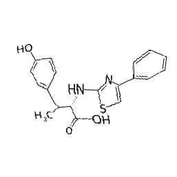 CC(c1ccc(O)cc1)[C@H](Nc1nc(-c2ccccc2)cs1)C(=O)O